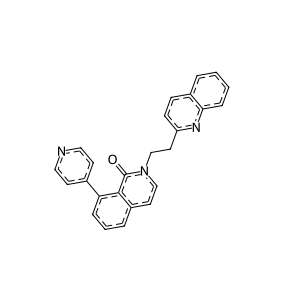 O=c1c2c(-c3ccncc3)cccc2ccn1CCc1ccc2ccccc2n1